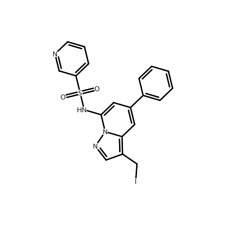 O=S(=O)(Nc1cc(-c2ccccc2)cc2c(CI)cnn12)c1cccnc1